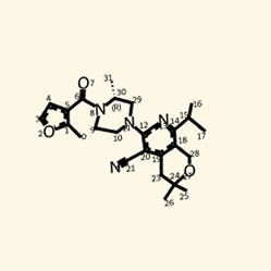 Cc1occc1C(=O)N1CCN(c2nc(C(C)C)c3c(c2C#N)CC(C)(C)OC3)C[C@H]1C